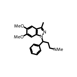 CNCCC(c1ccccc1)n1nc(C)c2cc(OC)c(OC)cc21